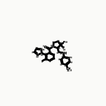 Cc1cccc(C(=O)N2CCC(F)(F)C2CNc2ccc(C(F)(F)F)cn2)c1-n1nccn1